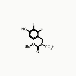 CC(C)(C)OC(=O)N(Cc1ccc(C#N)c(F)c1F)C(=O)O